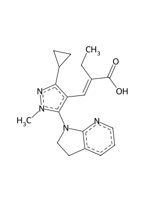 CC/C(=C\c1c(C2CC2)nn(C)c1N1CCc2cccnc21)C(=O)O